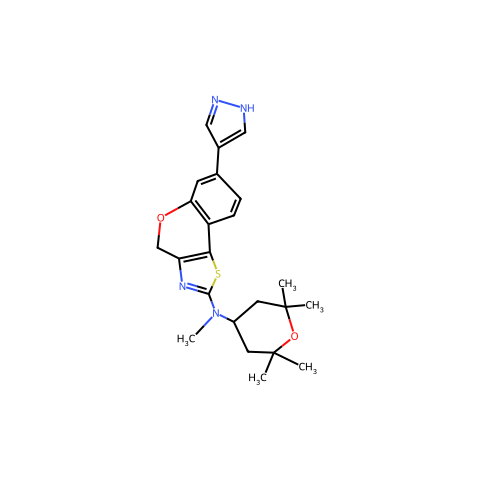 CN(c1nc2c(s1)-c1ccc(-c3cn[nH]c3)cc1OC2)C1CC(C)(C)OC(C)(C)C1